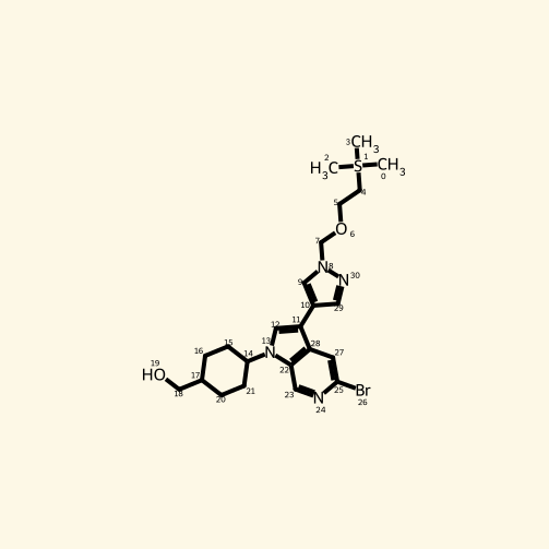 CS(C)(C)CCOCn1cc(-c2cn(C3CCC(CO)CC3)c3cnc(Br)cc23)cn1